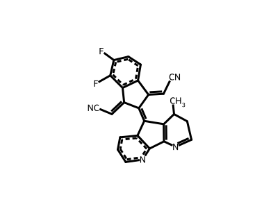 CC1CC=NC2=C1/C(=C1C(=C/C#N)/c3c(ccc(F)c3F)C/1=C\C#N)c1cccnc12